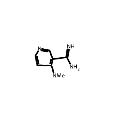 CNc1ccncc1C(=N)N